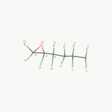 FC(F)C(F)(F)C(F)(F)C(F)(F)C1(F)OC1(F)F